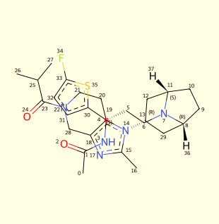 CC(=O)N[C@@H](CCN1[C@@H]2CC[C@H]1C[C@@H](n1c(C)nc3c1CCN(C(=O)C(C)C)C3)C2)c1ccc(F)s1